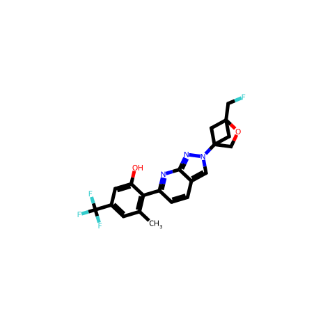 Cc1cc(C(F)(F)F)cc(O)c1-c1ccc2cn(C34COC(CF)(C3)C4)nc2n1